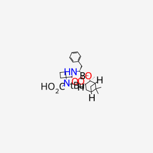 CC1(C)[C@@H]2C[C@H]3OB([C@H](Cc4ccccc4)NC(=O)C4(N(C(=O)O)C(C)(C)C)CCC4)O[C@@]3(C)[C@H]1C2